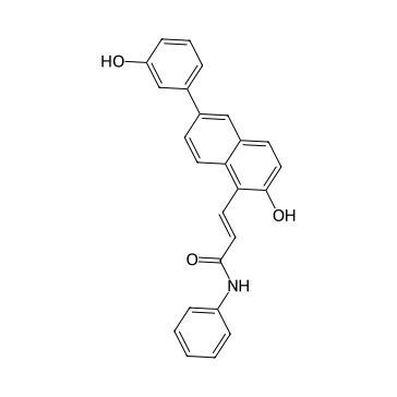 O=C(C=Cc1c(O)ccc2cc(-c3cccc(O)c3)ccc12)Nc1ccccc1